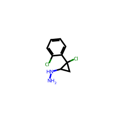 NNC1CC1(Cl)c1ccccc1Cl